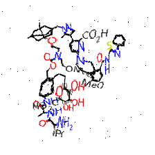 COCCN(CCOC12CC3(C)CC(C)(CC(Cn4ncc(-c5ccc(N6CCc7c(OC)ccc(C(=O)Nc8nc9ccccc9s8)c7C6)nc5C(=O)O)c4C)(C3)C1)C2)C(=O)OCc1ccc(NC(=O)C(C)NC(=O)C(N)C(C)C)cc1CC[C@@H]1O[C@H](C(=O)O)[C@@H](O)[C@H](O)[C@H]1O